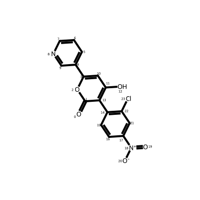 O=c1oc(-c2cccnc2)cc(O)c1-c1ccc([N+](=O)[O-])cc1Cl